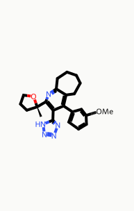 COc1cccc(-c2c3c(nc([C@]4(C)CCCO4)c2-c2nnn[nH]2)CCCCC3)c1